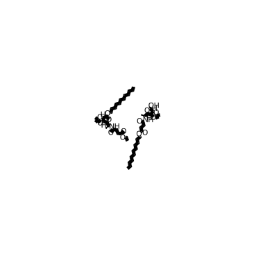 CCCCCCCCCCCCOC(=O)CCC(=O)N[C@@H](C)[C@H]1O[C@H](O)[C@H]2OC(C)(C)O[C@@H]12.CCCCCCCCCCCCO[C@H]1O[C@H]([C@H](C)NC(=O)CCC(=O)OCC)[C@@H]2OC(C)(C)O[C@H]12